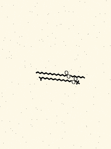 CC(C)CCCCCCCCCCCCCCCOC(=O)C(C)(C)C.CCCCCCCCCCCCCCCC(=O)OCCCCCCCC